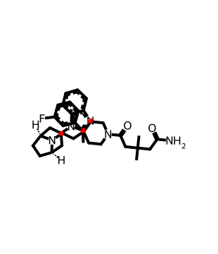 Cc1nc2ccccc2n1C1C[C@H]2CC[C@@H](C1)N2CCC1(c2cccc(F)c2)CCN(C(=O)CC(C)(C)CC(N)=O)CC1